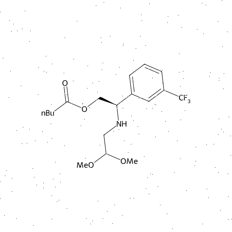 CCCCC(=O)OC[C@H](NCC(OC)OC)c1cccc(C(F)(F)F)c1